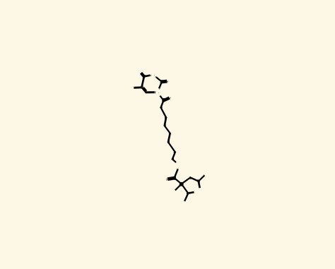 CC(C)CC(C)(C(=O)OCCCCCCCC(=O)n1cc(F)c(=O)[nH]c1=O)C(C)C